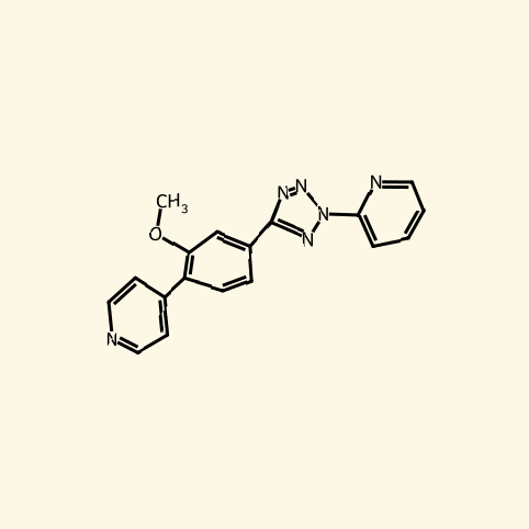 COc1cc(-c2nnn(-c3ccccn3)n2)ccc1-c1ccncc1